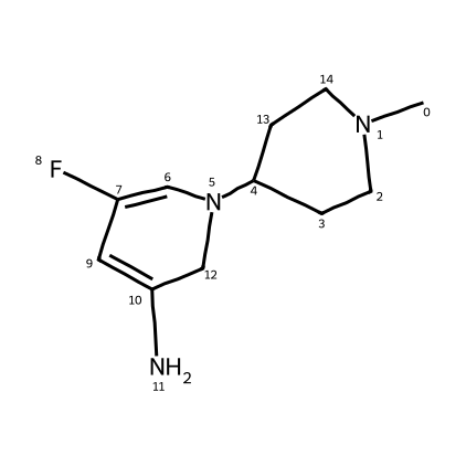 CN1CCC(N2C=C(F)C=C(N)C2)CC1